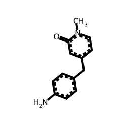 Cn1ccc(Cc2ccc(N)cc2)cc1=O